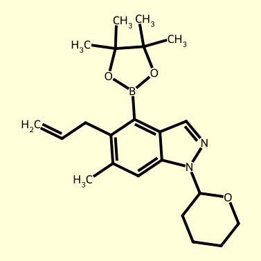 C=CCc1c(C)cc2c(cnn2C2CCCCO2)c1B1OC(C)(C)C(C)(C)O1